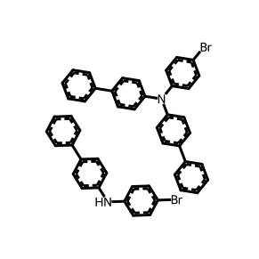 Brc1ccc(N(c2ccc(-c3ccccc3)cc2)c2ccc(-c3ccccc3)cc2)cc1.Brc1ccc(Nc2ccc(-c3ccccc3)cc2)cc1